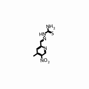 Cc1cc(C=NNC(N)=S)ncc1[N+](=O)[O-]